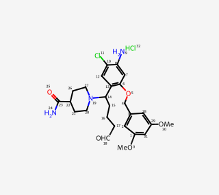 COc1cc(COc2cc(N)c(Cl)cc2C(CCCC=O)N2CCC(C(N)=O)CC2)cc(OC)c1.Cl